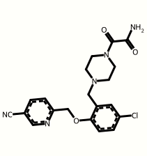 N#Cc1ccc(COc2ccc(Cl)cc2CN2CCN(C(=O)C(N)=O)CC2)nc1